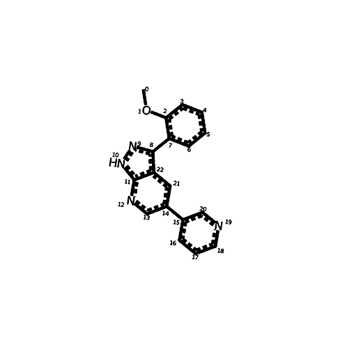 COc1ccccc1-c1n[nH]c2ncc(-c3cccnc3)cc12